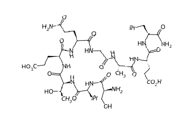 CC(C)C[C@H](NC(=O)[C@H](CCC(=O)O)NC(=O)[C@H](C)NC(=O)CNC(=O)[C@H](CCC(N)=O)NC(=O)[C@H](CCC(=O)O)NC(=O)[C@@H](NC(=O)[C@@H](NC(=O)[C@@H](N)CO)C(C)C)[C@@H](C)O)C(N)=O